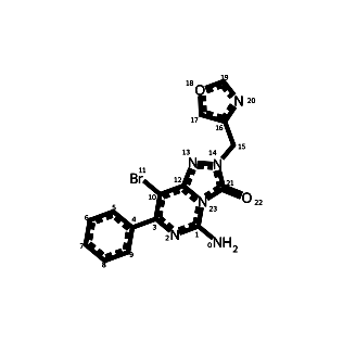 Nc1nc(-c2ccccc2)c(Br)c2nn(Cc3cocn3)c(=O)n12